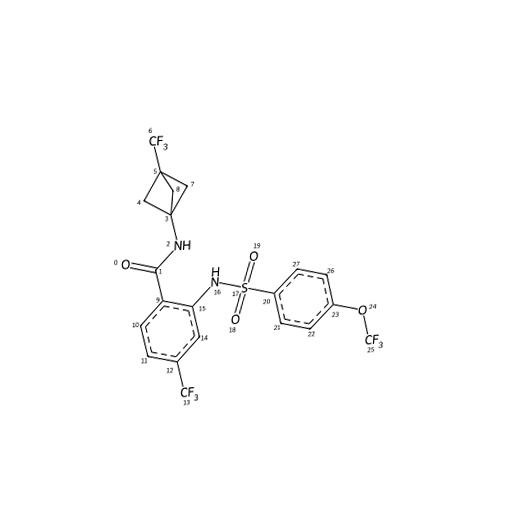 O=C(NC12CC(C(F)(F)F)(C1)C2)c1ccc(C(F)(F)F)cc1NS(=O)(=O)c1ccc(OC(F)(F)F)cc1